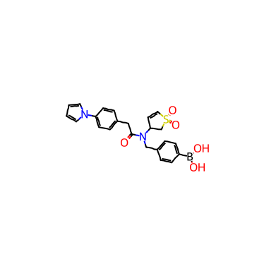 O=C(Cc1ccc(-n2cccc2)cc1)N(Cc1ccc(B(O)O)cc1)C1C=CS(=O)(=O)C1